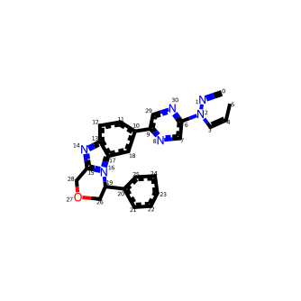 C=NN(/C=C\C)c1cnc(-c2ccc3nc4n(c3c2)C(c2ccccc2)COC4)cn1